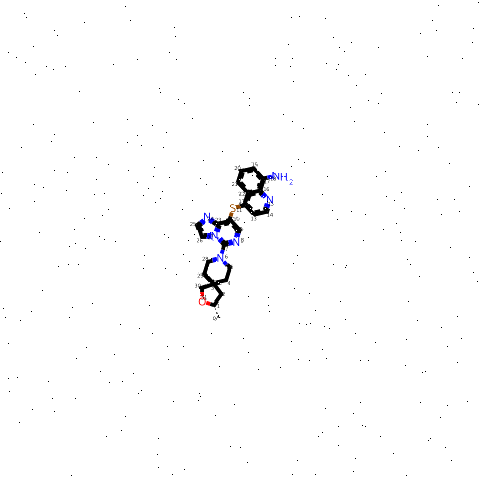 C[C@H]1CC2(CCN(c3ncc(Sc4ccnc5c(N)cccc45)c4nccn34)CC2)CO1